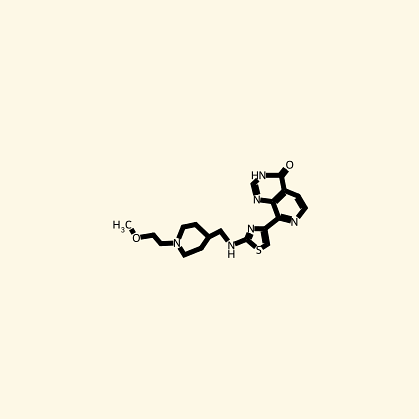 COCCN1CCC(CNc2nc(-c3nccc4c(=O)[nH]cnc34)cs2)CC1